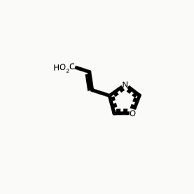 O=C(O)C=Cc1cocn1